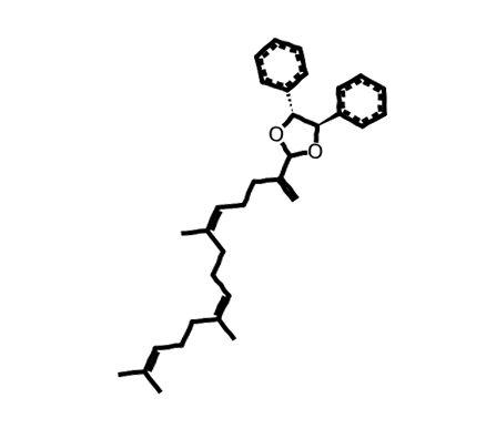 C=C(CCC=C(C)CCC=C(C)CCC=C(C)C)C1O[C@H](c2ccccc2)[C@@H](c2ccccc2)O1